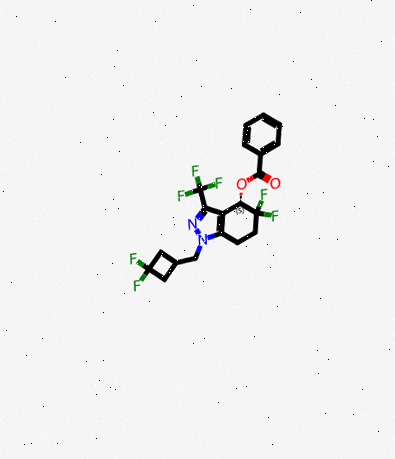 O=C(O[C@H]1c2c(C(F)(F)F)nn(CC3CC(F)(F)C3)c2CCC1(F)F)c1ccccc1